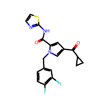 O=C(Nc1nccs1)c1cc(C(=O)C2CC2)cn1Cc1ccc(F)c(F)c1